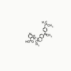 CC(C)Cc1ccc(N(C)c2ccc3c(c2)CCN(C)[C@@H]3CNc2cnccc2C(=O)O)cc1